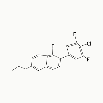 CCCc1ccc2c(F)c(-c3cc(F)c(Cl)c(F)c3)ccc2c1